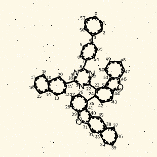 c1ccc(-c2ccc(-c3nc(-c4ccc5ccccc5c4)nc(-c4c(-c5cccc6oc7cc8ccccc8cc7c56)ccc5oc6ccccc6c45)n3)cc2)cc1